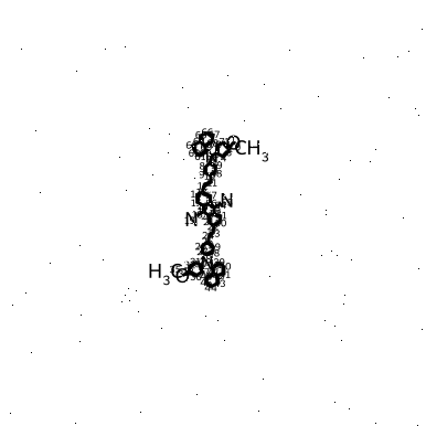 COc1ccc(N(c2ccc(C=Cc3ccc4c(C#N)c5cc(C=Cc6ccc(N(c7ccc(OC)cc7)c7cccc8ccccc78)cc6)ccc5c(C#N)c4c3)cc2)c2cccc3ccccc23)cc1